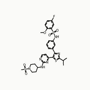 COc1ccc(F)cc1S(=O)(=O)Nc1cccc(-c2nc(C(C)C)sc2-c2ccnc(NC3CCN(S(C)(=O)=O)CC3)n2)c1